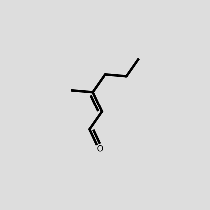 CCCC(C)=CC=O